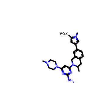 CC1Cc2ccc(-c3cc(C(=O)O)n(C)c3)cc2CN1c1cc(N2CCN(C)CC2)nc(N)n1